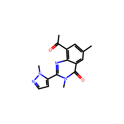 CC(=O)c1cc(C)cc2c(=O)n(C)c(-c3ccnn3C)nc12